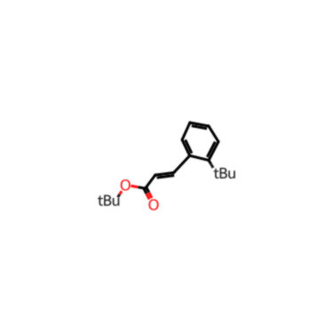 CC(C)(C)OC(=O)/C=C/c1ccccc1C(C)(C)C